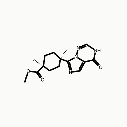 COC(=O)[C@]1(C)CC[C@](C)(c2ncc3c(=O)[nH]cnn32)CC1